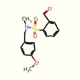 COc1ccc(CN(C)S(=O)(=O)c2ccccc2C=O)cc1